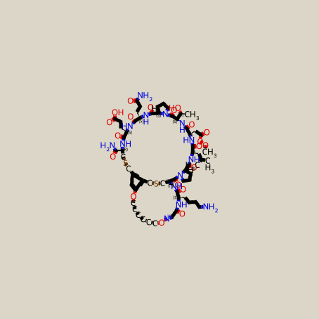 COOC(=O)C[C@@H]1NC(=O)[C@H](CC(C)C)NC(=O)[C@@H]2CCCN2C(=O)[C@@H]2CSCc3cc(cc(c3)OCCCCCCO/N=C/C(=O)N[C@@H](CCCCN)C(=O)N2)CSC[C@@H](C(N)=O)NC(=O)[C@H](CCC(=O)O)NC(=O)[C@H](CCC(N)=O)NC(=O)[C@@H]2CCCN2C(=O)[C@H]([C@@H](C)O)NC1=O